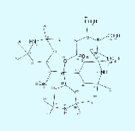 CCCCCCCCCCC(C1CC(C)(C)NC(C)(C)C1)C(OC(=O)CC(C(=O)O)C(CC(=O)O)C(=O)O)(C1CC(C)(C)NC(C)(C)C1)C1CC(C)(C)NC(C)(C)C1